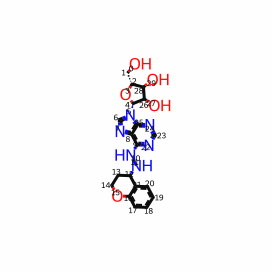 OC[C@H]1O[C@@H](n2cnc3c(NNC4CCOc5ccccc54)ncnc32)C(O)C1O